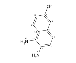 Nc1ccc2cc(Cl)ccc2c1N